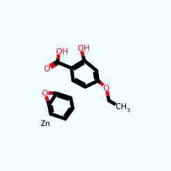 CCOc1ccc(C(=O)O)c(O)c1.[Zn].c1ccc2c(c1)O2